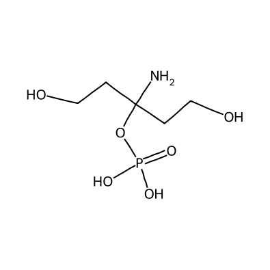 NC(CCO)(CCO)OP(=O)(O)O